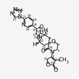 CC1=C(N2CCOC3(C[C@H]4CC[C@@H](C3)N4C[C@H](O)c3ccc(-n4cnnn4)nc3)C2=O)COC1=O